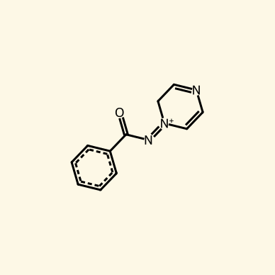 O=C(N=[N+]1C=CN=CC1)c1ccccc1